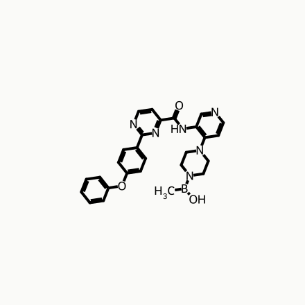 CB(O)N1CCN(c2ccncc2NC(=O)c2ccnc(-c3ccc(Oc4ccccc4)cc3)n2)CC1